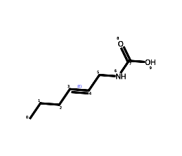 CCC/C=C/CNC(=O)O